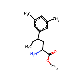 CCC(CC(N)C(=O)OC)c1cc(C)cc(C)c1